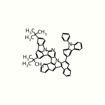 CC(C)(C)c1ccc2c(c1)c1cc(C(C)(C)C)cc3c4c5c6c7ccccc7cc7c8c9ccccc9cc(-c9ccc%10c(c9)c9ccccc9n%10-c9ccccc9)c8n(c5cnc4n2c13)c76